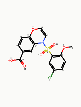 COc1ccc(Cl)cc1S(=O)(=O)N1C=COc2ccc(C(=O)O)cc21